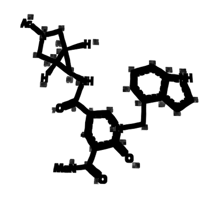 CNC(=O)c1cc(C(=O)N[C@H]2[C@@H]3CN(C(C)=O)C[C@@H]32)cn(Cc2cccc3[nH]ccc23)c1=O